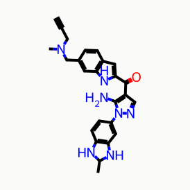 C#CCN(C)Cc1ccc2cc(C(=O)c3cnn(-c4ccc5c(c4)NC(C)N5)c3N)[nH]c2c1